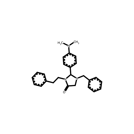 CN(C)c1ccc(C2N(Cc3ccccc3)CC(=O)N2CCc2ccccc2)cc1